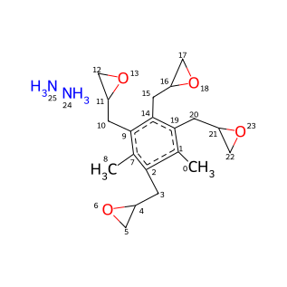 Cc1c(CC2CO2)c(C)c(CC2CO2)c(CC2CO2)c1CC1CO1.N.N